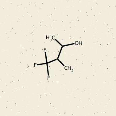 [CH2]C(C(C)O)C(F)(F)F